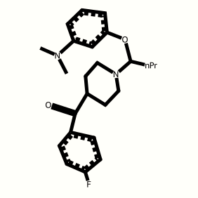 CCCC(Oc1cccc(N(C)C)c1)N1CCC(C(=O)c2ccc(F)cc2)CC1